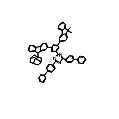 CC1(C)c2ccccc2-c2cc(-c3cc(-c4ccc5c(c4)C(C46CC7CC(CC(C7)C4)C6)c4ccccc4-5)cc(-c4nc(-c5ccc(-c6ccccc6)cc5)nc(-c5ccc(-c6ccccc6)cc5)n4)c3)ccc21